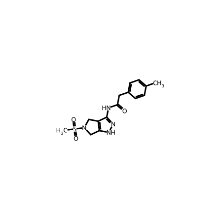 Cc1ccc(CC(=O)Nc2n[nH]c3c2CN(S(C)(=O)=O)C3)cc1